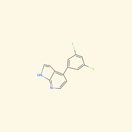 Fc1cc(F)cc(-c2ccnc3[nH]ccc23)c1